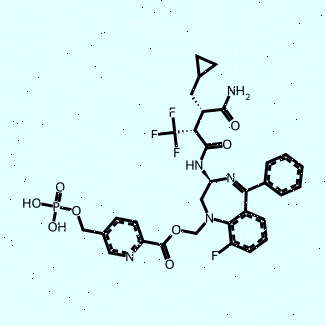 NC(=O)[C@@H](CC1CC1)[C@H](C(=O)N[C@@H]1CN(COC(=O)c2ccc(COP(=O)(O)O)cn2)c2c(F)cccc2C(c2ccccc2)=N1)C(F)(F)F